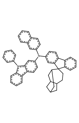 c1ccc(-n2c3ccccc3c3ccc(N(c4ccc5c(c4)C4(CCC6CC7CC6CC4C7)c4ccccc4-5)c4ccc5ccccc5c4)cc32)cc1